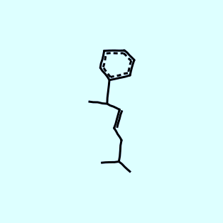 CC(C)C/C=C/C(C)c1ccccc1